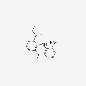 CCc1cccc(C(C)CC)c1Nc1ccccc1NC